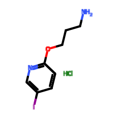 Cl.NCCCOc1ccc(I)cn1